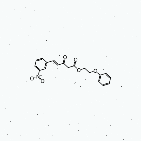 O=C(C=Cc1cccc([N+](=O)[O-])c1)CC(=O)OCCOc1ccccc1